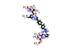 CCC1=C[C@@H](c2ncc(-c3ccc(-c4ccc(-c5cnc([C@@H]6CCCN6C(=O)C(NC(=O)OC)C(C)C)[nH]5)cc4)cc3)[nH]2)N(C(=O)[C@H](NC(=O)OC)C(C)C)C1